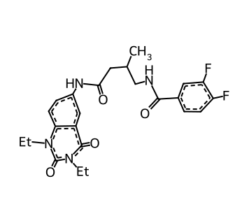 CCn1c(=O)c2cc(NC(=O)CC(C)CNC(=O)c3ccc(F)c(F)c3)ccc2n(CC)c1=O